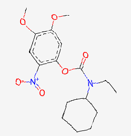 CCN(C(=O)Oc1cc(OC)c(OC)cc1[N+](=O)[O-])C1CCCCC1